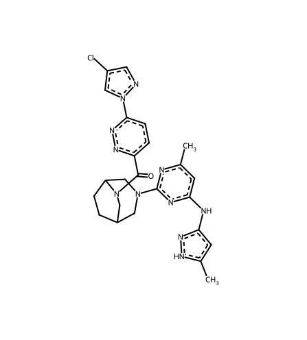 Cc1cc(Nc2cc(C)[nH]n2)nc(N2CC3CCC(C2)N(C(=O)c2ccc(-n4cc(Cl)cn4)nn2)C3)n1